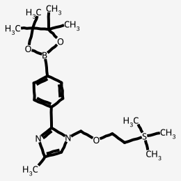 Cc1cn(COCCS(C)(C)C)c(-c2ccc(B3OC(C)(C)C(C)(C)O3)cc2)n1